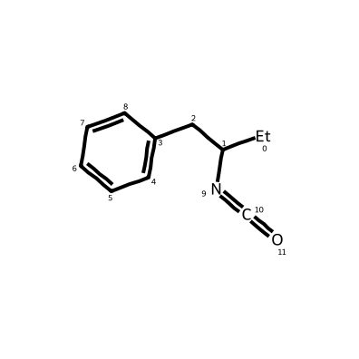 CCC(Cc1ccccc1)N=C=O